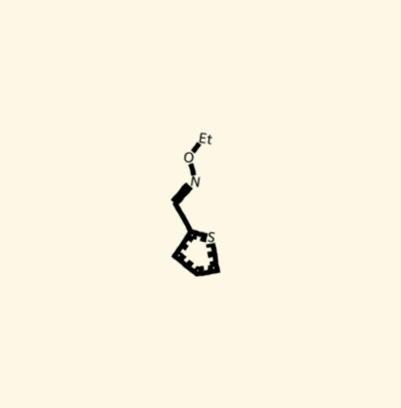 CCON=Cc1cccs1